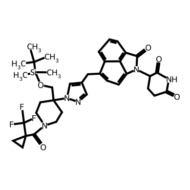 CC(C)(C)[Si](C)(C)OCC1(n2cc(Cc3ccc4c5c(cccc35)C(=O)N4C3CCC(=O)NC3=O)cn2)CCN(C(=O)C2(C(F)(F)F)CC2)CC1